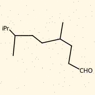 CC(CCC=O)CCC(C)C(C)C